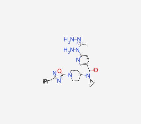 C/C(=N/N)N(N)c1ccc(C(=O)N(C2CC2)C2CCN(c3nc(C(C)C)no3)CC2)cn1